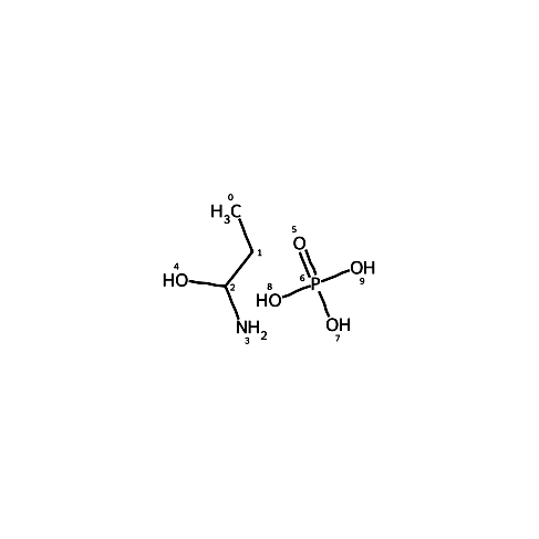 CCC(N)O.O=P(O)(O)O